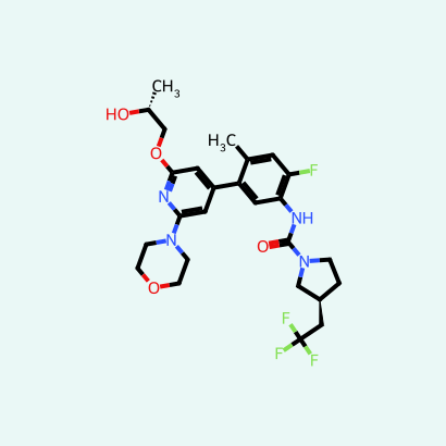 Cc1cc(F)c(NC(=O)N2CC[C@@H](CC(F)(F)F)C2)cc1-c1cc(OC[C@@H](C)O)nc(N2CCOCC2)c1